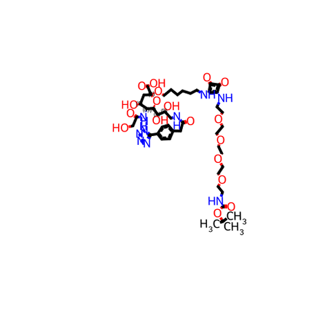 CC(C)(C)OC(=O)NCCOCCOCCOCCOCCNc1c(NCCCCCCO[C@]2(C(=O)O)C[C@H](O)[C@@H](NC(=O)CO)[C@H]([C@H](O)[C@H](O)CNC(=O)Cc3ccc(-c4nnn[nH]4)cc3)O2)c(=O)c1=O